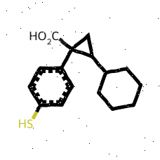 O=C(O)C1(c2ccc(S)cc2)CC1C1CCCCC1